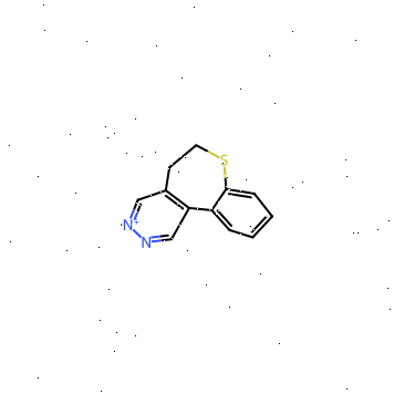 C1=N[N+]=CC2=C1c1ccccc1SCC2